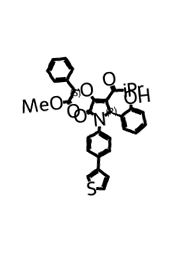 COC(=O)[C@@H](OC1=C(C(=O)C(C)C)[C@@H](c2ccccc2O)N(c2ccc(-c3ccsc3)cc2)C1=O)c1ccccc1